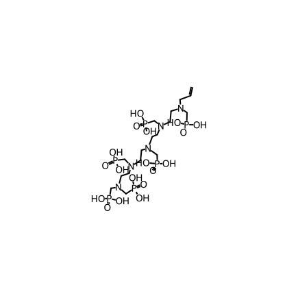 C=CCN(CCN(CCN(CCN(CCN(CP(=O)(O)O)CP(=O)(O)O)CP(=O)(O)O)CP(=O)(O)O)CP(=O)(O)O)CP(=O)(O)O